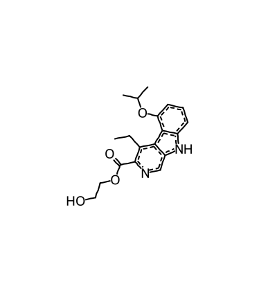 CCc1c(C(=O)OCCO)ncc2[nH]c3cccc(OC(C)C)c3c12